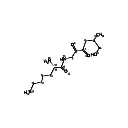 CC(CO)CC(=O)C(=O)CNC(=O)[C@@H](N)CCCCN